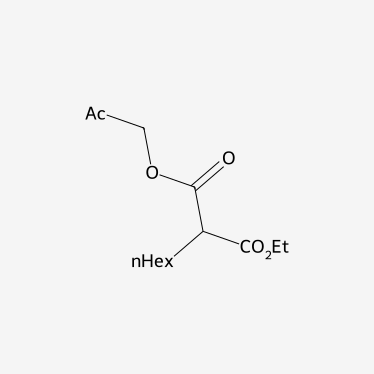 CCCCCCC(C(=O)OCC)C(=O)OCC(C)=O